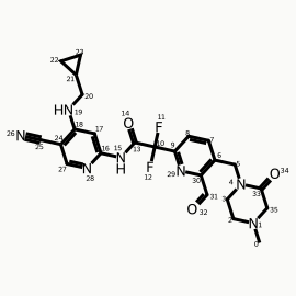 CN1CCN(Cc2ccc(C(F)(F)C(=O)Nc3cc(NCC4CC4)c(C#N)cn3)nc2C=O)C(=O)C1